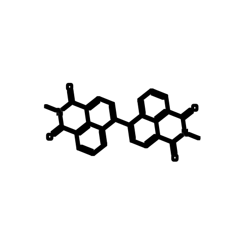 CN1C(=O)c2cccc3c(-c4ccc5c6c(cccc46)C(=O)N(C)C5=O)ccc(c23)C1=O